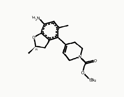 Cc1cc(N)c2c(c1C1=CCN(C(=O)OC(C)(C)C)CC1)C[C@@H](C)O2